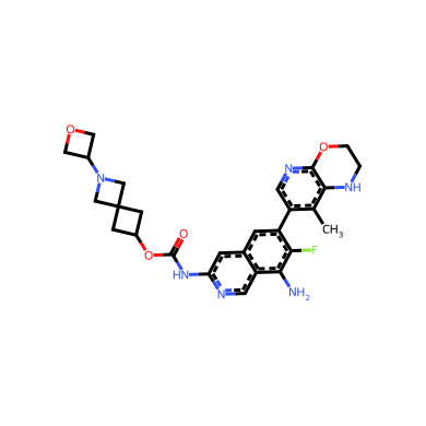 Cc1c(-c2cc3cc(NC(=O)OC4CC5(C4)CN(C4COC4)C5)ncc3c(N)c2F)cnc2c1NCCO2